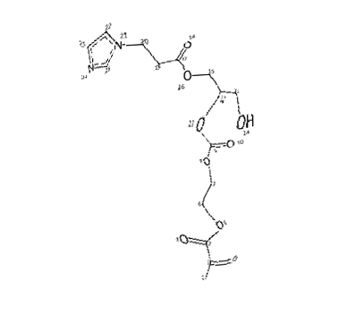 C=C(C)C(=O)OCCOC(=O)OC(CO)COC(=O)CCn1ccnc1